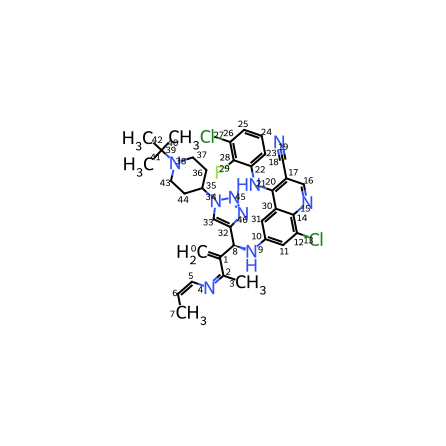 C=C(/C(C)=N\C=C/C)[C@H](Nc1cc(Cl)c2ncc(C#N)c(Nc3cccc(Cl)c3F)c2c1)c1cn(C2CCN(C(C)(C)C)CC2)nn1